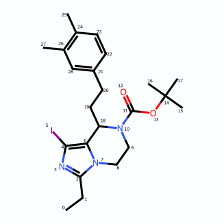 CCc1nc(I)c2n1CCN(C(=O)OC(C)(C)C)C2CCc1ccc(C)c(C)c1